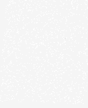 COP(=O)(OC=C(Cl)Cl)OCCCl